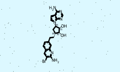 Nc1nc2cc(CC[C@@H]3C[C@@H](n4ccc5c(N)ncnc54)[C@H](O)[C@@H]3O)ccc2cc1Br